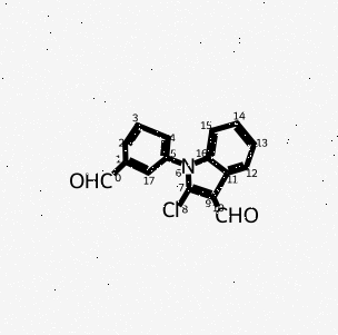 O=Cc1cccc(-n2c(Cl)c(C=O)c3ccccc32)c1